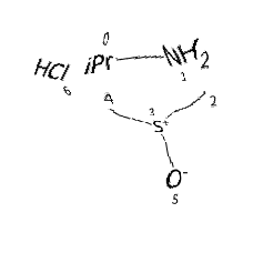 CC(C)N.C[S+](C)[O-].Cl